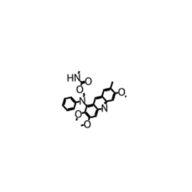 CNC(=O)OCN(c1ccccc1)c1c(OC)c(OC)cc2nc3cc(OC)c(C)cc3cc12